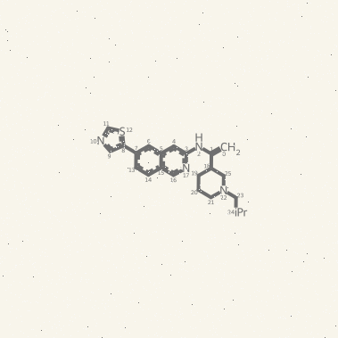 C=C(Nc1cc2cc(-c3cncs3)ccc2cn1)C1CCCN(CC(C)C)C1